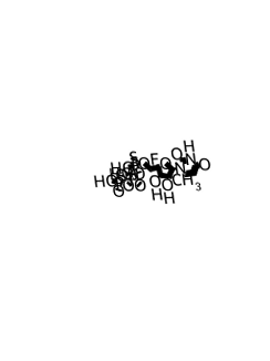 C[C@]1(O)[C@H](n2ccc(=O)[nH]c2=O)O[C@](F)(COP(O)(=S)OP(=O)(O)OP(=O)(O)O)[C@H]1O